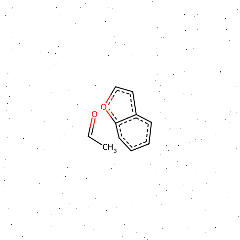 CC=O.c1ccc2occc2c1